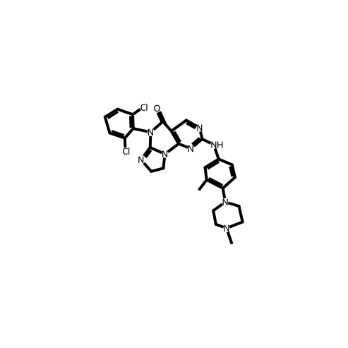 Cc1cc(Nc2ncc3c(n2)N2CCN=C2N(c2c(Cl)cccc2Cl)C3=O)ccc1N1CCN(C)CC1